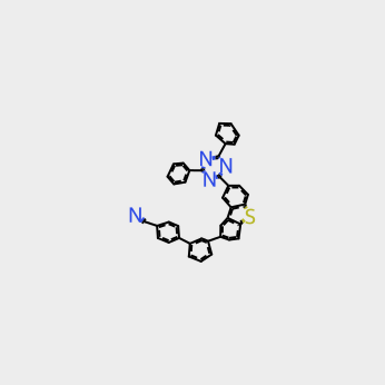 N#Cc1ccc(-c2cccc(-c3ccc4sc5ccc(-c6nc(-c7ccccc7)nc(-c7ccccc7)n6)cc5c4c3)c2)cc1